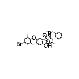 C=C(C)CN(B(C)Cc1ccccc1)S(=O)(=O)c1cc(Oc2c(C)cc(Br)cc2C)ccc1O